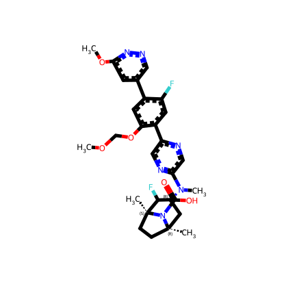 COCOc1cc(-c2cnnc(OC)c2)c(F)cc1-c1cnc(N(C)[C@@H]2C[C@@]3(C)CC[C@@](C)(C2F)N3C(=O)O)cn1